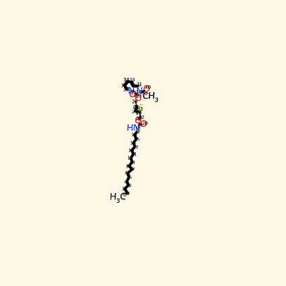 CCCCCCCCCCCCCCCCCCNC(=O)OC[C@H]1C[C@@H](COC(=O)N(Cc2ccccn2)C(C)=O)S1